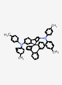 Cc1ccc(N(c2ccc(C)cc2)c2ccc3c(c2)C2(c4ccccc4-c4ccccc4-c4ccccc42)c2cc(N(c4ccc(C)cc4)c4ccc(C)cc4)ccc2-3)cc1